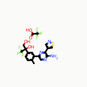 Cc1ccc(C(O)(CO)C(F)(F)F)cc1-c1cnc(N)c(-c2cnsc2)n1.O=C(O)C(F)(F)F